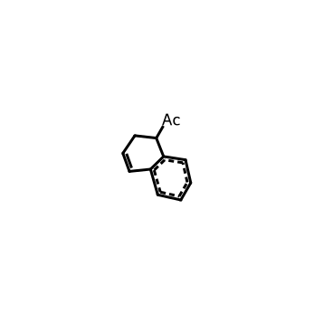 CC(=O)C1CC=Cc2ccccc21